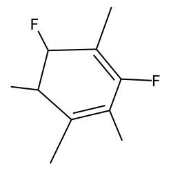 CC1=C(C)C(C)C(F)C(C)=C1F